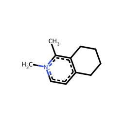 Cc1c2c(cc[n+]1C)CCCC2